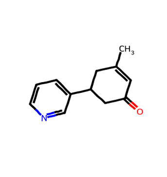 CC1=CC(=O)CC(c2cccnc2)C1